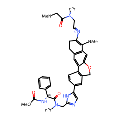 CCCN(C/C=N/C1=C(NC)c2cc3c(cc2CC1)-c1ccc(-c2cnc(CN(CCC)C(=O)[C@H](NC(=O)OC)c4ccccc4)[nH]2)cc1CO3)C(=O)CNC